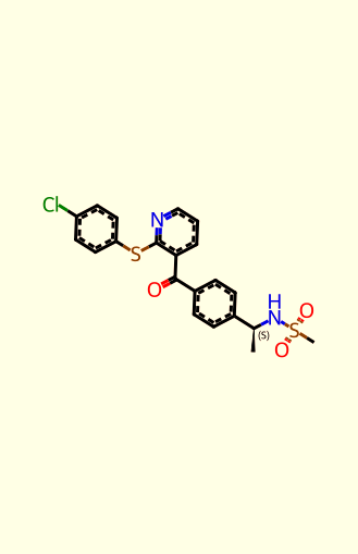 C[C@H](NS(C)(=O)=O)c1ccc(C(=O)c2cccnc2Sc2ccc(Cl)cc2)cc1